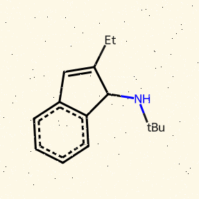 CCC1=Cc2ccccc2C1NC(C)(C)C